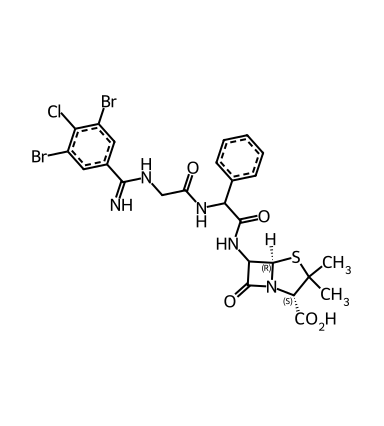 CC1(C)S[C@@H]2C(NC(=O)C(NC(=O)CNC(=N)c3cc(Br)c(Cl)c(Br)c3)c3ccccc3)C(=O)N2[C@H]1C(=O)O